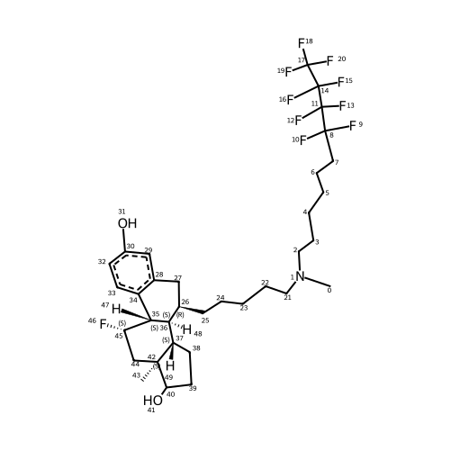 CN(CCCCCCC(F)(F)C(F)(F)C(F)(F)C(F)(F)F)CCCCC[C@@H]1Cc2cc(O)ccc2[C@@H]2[C@@H]1[C@@H]1CCC(O)[C@@]1(C)C[C@@H]2F